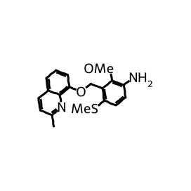 COc1c(N)ccc(SC)c1COc1cccc2ccc(C)nc12